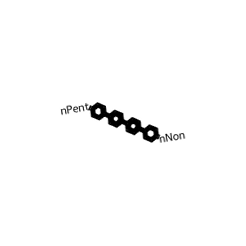 CCCCCCCCCC1CCC(c2ccc(-c3ccc(C4=CCC(CCCCC)CC4)cc3)cc2)CC1